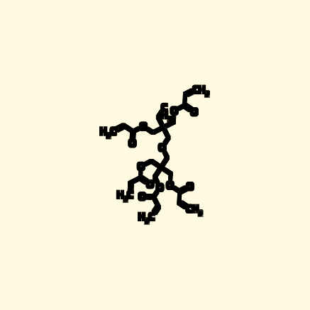 C=CC(=O)OCC(CC)(COCC(COC(=O)C=C)(COC(=O)C=C)COC(=O)C=C)COC(=O)C=C